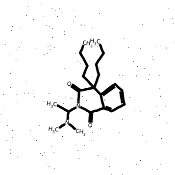 CCCCC1(CCCC)C(=O)N(C(C)N(C)C)C(=O)c2ccccc21